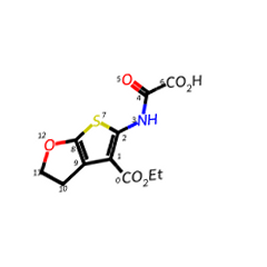 CCOC(=O)c1c(NC(=O)C(=O)O)sc2c1CCO2